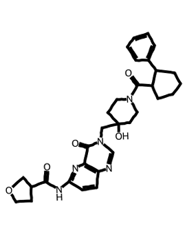 O=C(Nc1ccc2ncn(CC3(O)CCN(C(=O)C4CCCCC4c4ccccc4)CC3)c(=O)c2n1)C1CCOC1